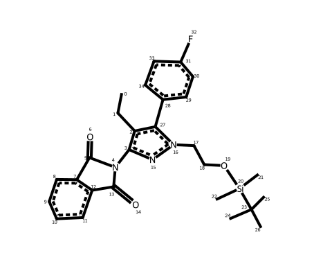 CCc1c(N2C(=O)c3ccccc3C2=O)nn(CCO[Si](C)(C)C(C)(C)C)c1-c1ccc(F)cc1